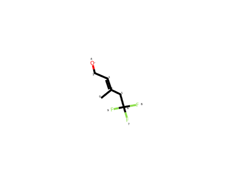 C/C(=C\C[O])CC(F)(F)F